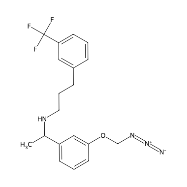 CC(NCCCc1cccc(C(F)(F)F)c1)c1cccc(OCN=[N+]=[N-])c1